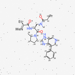 CC[C@H](NC)C(=O)N[C@@H](CN(C)C(=O)CC(C)C)C(=O)N1C(C)CC[C@H]1c1nc2c(-c3ccccc3)cncc2[nH]1